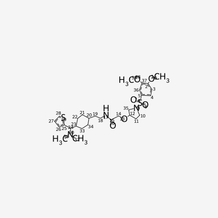 COc1ccc(S(=O)(=O)N2CCC(OCC(=O)NCCC3CCC(C(c4cccs4)N(C)C)CC3)C2)cc1OC